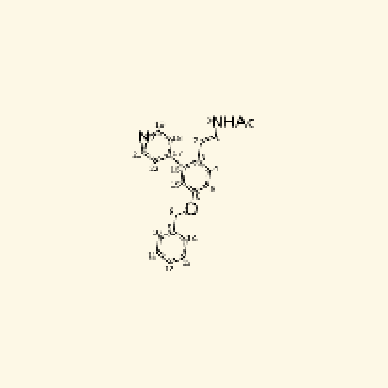 CC(=O)NC=Cc1ccc(OCc2ccccc2)cc1-c1ccncc1